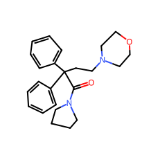 O=C(N1CCCC1)C(CCN1CCOCC1)(c1ccccc1)c1ccccc1